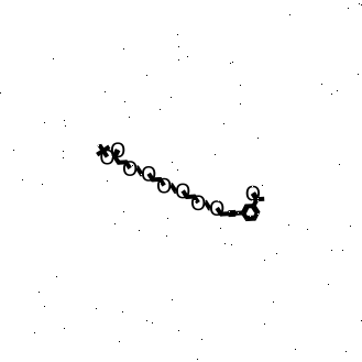 CC(=O)c1cccc(C#CCOCCOCCOCCOCCOCCOCCC(=O)OC(C)(C)C)c1